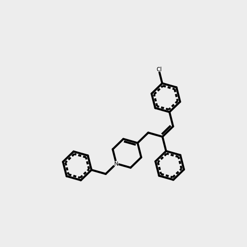 Clc1ccc(/C=C(\CC2=CCN(Cc3ccccc3)CC2)c2ccccc2)cc1